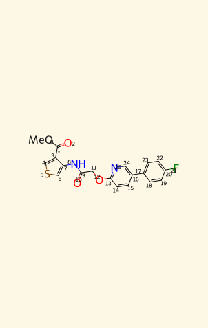 COC(=O)c1cscc1NC(=O)COc1ccc(-c2ccc(F)cc2)cn1